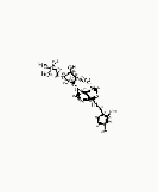 O=P(O)(O)OC[C@H]1O[C@@H](n2cnc3c(NCc4ccc(F)cc4F)ncnc32)[C@H](O)[C@@H]1O